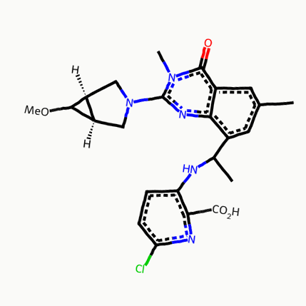 COC1[C@H]2CN(c3nc4c(C(C)Nc5ccc(Cl)nc5C(=O)O)cc(C)cc4c(=O)n3C)C[C@@H]12